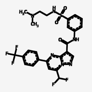 CN(C)CCNS(=O)(=O)c1cccc(NC(=O)c2cnn3c(C(F)F)cc(-c4ccc(C(F)(F)F)cc4)nc23)c1